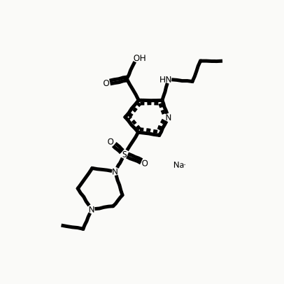 CCCNc1ncc(S(=O)(=O)N2CCN(CC)CC2)cc1C(=O)O.[Na]